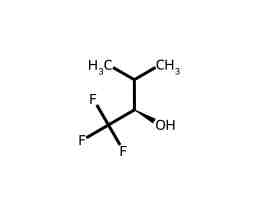 CC(C)[C@@H](O)C(F)(F)F